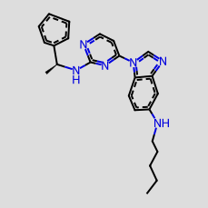 CCCCCNc1ccc2c(c1)ncn2-c1ccnc(N[C@@H](C)c2ccccc2)n1